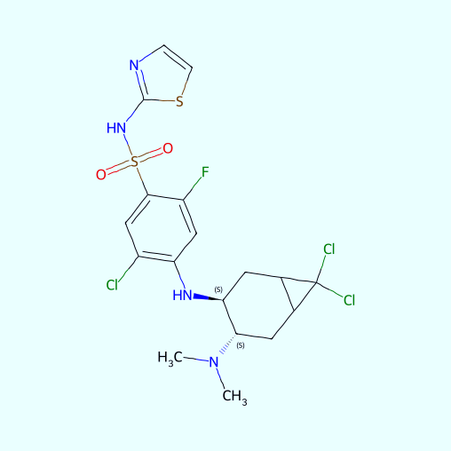 CN(C)[C@H]1CC2C(C[C@@H]1Nc1cc(F)c(S(=O)(=O)Nc3nccs3)cc1Cl)C2(Cl)Cl